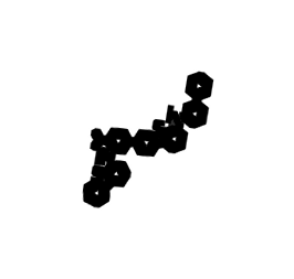 CC(C)c1ccc(-c2ccc3c(c2)sc2c(N(I)c4cccc(-c5ccccc5)c4)cccc23)cc1N(I)c1cccc2c1sc1ccccc12